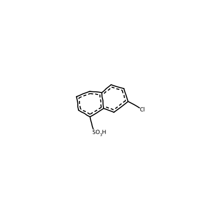 O=S(=O)(O)c1cccc2ccc(Cl)cc12